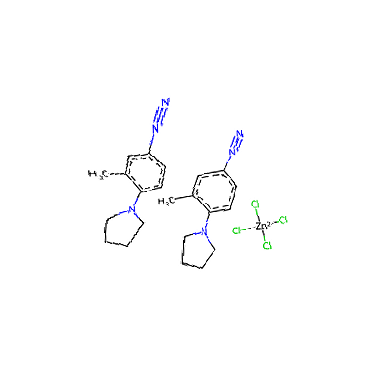 Cc1cc([N+]#N)ccc1N1CCCC1.Cc1cc([N+]#N)ccc1N1CCCC1.[Cl][Zn-2]([Cl])([Cl])[Cl]